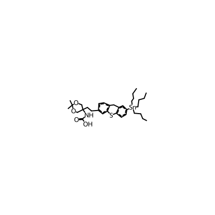 CCC[CH2][Sn]([CH2]CCC)([CH2]CCC)[c]1ccc2c(c1)Cc1ccc(CCC3(NC(=O)O)COC(C)(C)OC3)cc1S2